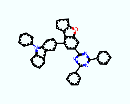 c1ccc(-c2nc(-c3ccccc3)nc(-c3cc(-c4ccc5c(c4)c4ccccc4n5-c4ccccc4)c4c(c3)oc3ccccc34)n2)cc1